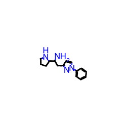 NC(Cc1ccn(-c2ccccc2)n1)C1CCCN1